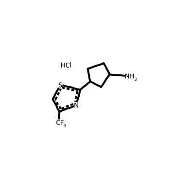 Cl.NC1CCC(c2nc(C(F)(F)F)cs2)C1